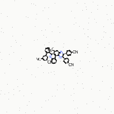 N#Cc1ccc(-c2nc3cc(C(F)(F)F)c4c(-c5ccccc5-c5cc(C#N)cc(C#N)c5)nc5ccccc5c4c3nc2-c2ccc(C#N)cc2)cc1